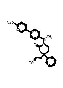 C=CCC1(c2ccccc2)CCN([C@@H](C)c2ccc(-c3ccc(OC)nc3)cc2)C(=O)O1